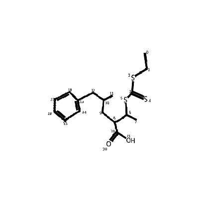 CCSC(=S)SC(C)C(CC(C)Cc1ccccc1)C(=O)O